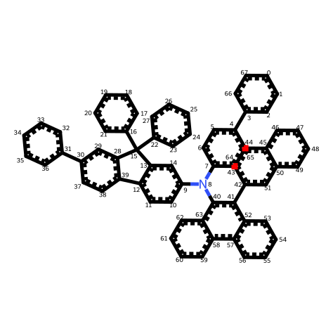 c1ccc(-c2ccc(N(c3ccc4c(c3)C(c3ccccc3)(c3ccccc3)c3cc(-c5ccccc5)ccc3-4)c3c(-c4ccc5ccccc5c4)c4ccccc4c4ccccc34)cc2)cc1